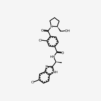 C[C@H](NC(=O)c1ccc(C(=O)N2CCC[C@H]2CO)c(Cl)c1)c1nc2cc(Cl)ccc2[nH]1